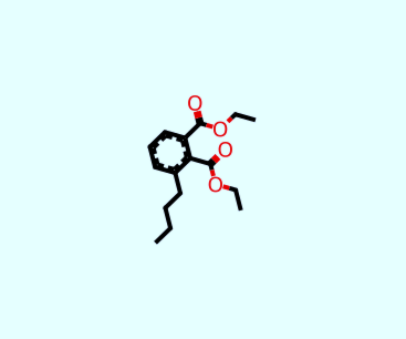 CCCCc1cccc(C(=O)OCC)c1C(=O)OCC